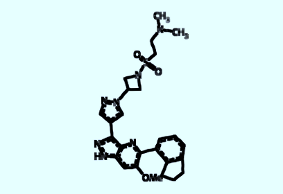 COc1cc2[nH]nc(-c3cnn(C4CN(S(=O)(=O)CCN(C)C)C4)c3)c2nc1-c1cccc2c1CCC2